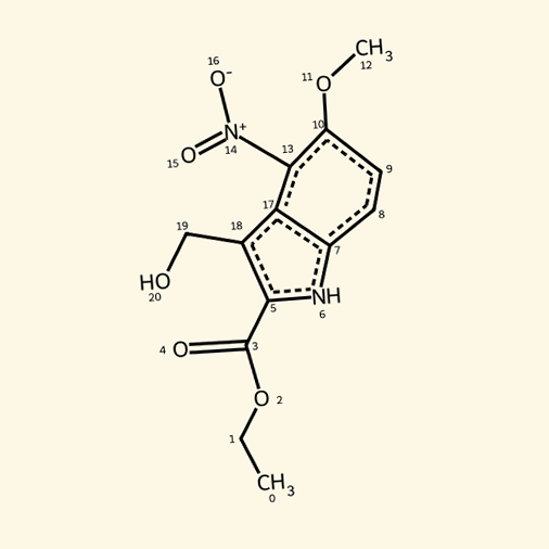 CCOC(=O)c1[nH]c2ccc(OC)c([N+](=O)[O-])c2c1CO